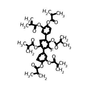 C=C(C)C(=O)Oc1ccc(-c2cc(OC(=O)C(=C)C)c(-c3ccc(OC(=O)C(=C)C)c(OC(=O)C(=C)C)c3)c(F)c2OC(=O)C(=C)C)cc1OC(=O)C(=C)C